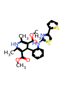 COC(=O)C1=C(C)NC(C)=C(C(=O)OC)C1c1ccccc1Nc1nc(-c2cccs2)cs1